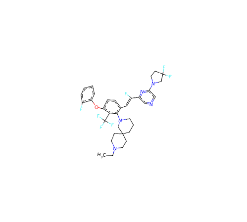 CCN1CCC2(CCCN(c3c(/C=C(\F)c4cncc(N5CCC(F)(F)C5)n4)ccc(Oc4ccccc4F)c3C(F)(F)F)C2)CC1